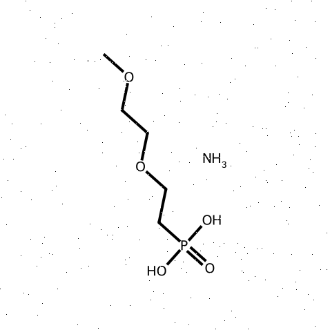 COCCOCCP(=O)(O)O.N